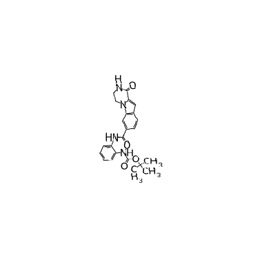 CC(C)(C)OC(=O)Nc1ccccc1NC(=O)c1ccc2cc3n(c2c1)CCNC3=O